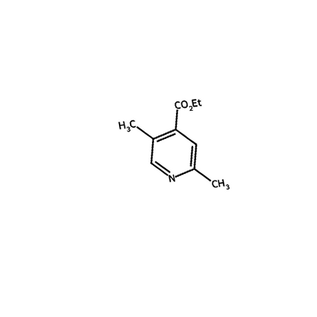 CCOC(=O)c1cc(C)ncc1C